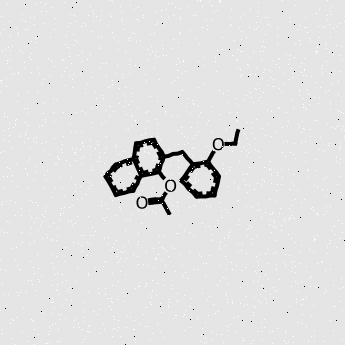 CCOc1ccccc1Cc1ccc2ccccc2c1OC(C)=O